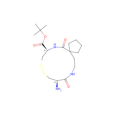 CC(C)(C)OC(=O)[C@@H]1CSSC[C@H](N)C(=O)NCCC2(CCCC2)C(=O)N1